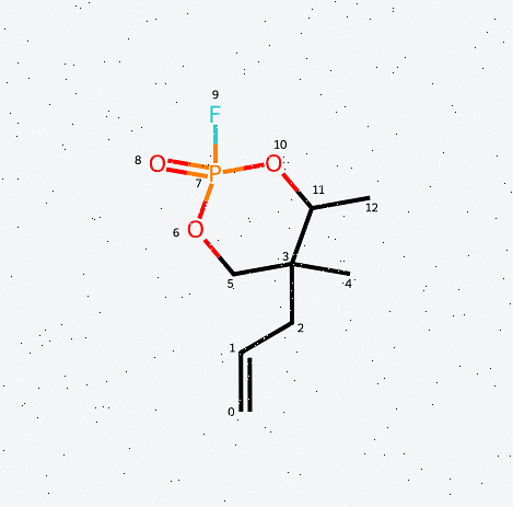 C=CCC1(C)COP(=O)(F)OC1C